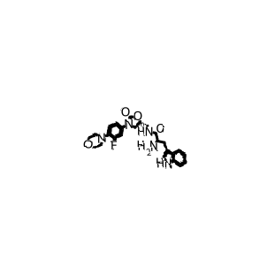 NC(Cc1c[nH]c2ccccc12)C(=O)NC[C@@H]1CN(c2ccc(N3CCOCC3)c(F)c2)C(=O)O1